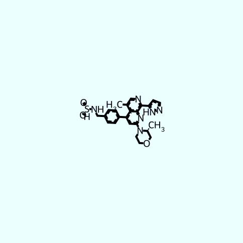 Cc1cnc(-c2ccn[nH]2)c2nc(N3CCOC[C@H]3C)cc(-c3ccc(CN[SH](=O)=O)cc3)c12